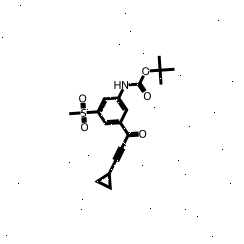 CC(C)(C)OC(=O)Nc1cc(C(=O)C#CC2CC2)cc(S(C)(=O)=O)c1